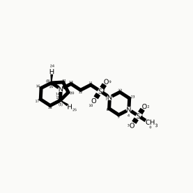 CS(=O)(=O)N1CCN(S(=O)(=O)CCCN2[C@@H]3C[CH]C[C@H]2CC3)CC1